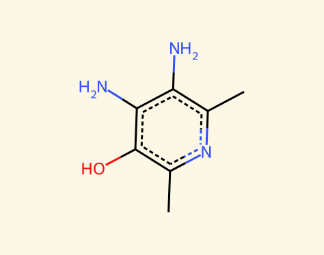 Cc1nc(C)c(O)c(N)c1N